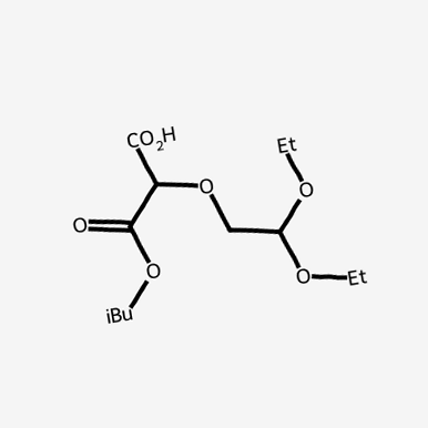 CCOC(COC(C(=O)O)C(=O)OC(C)CC)OCC